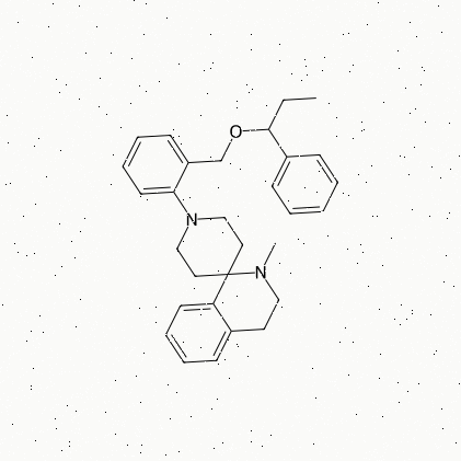 CCC(OCc1ccccc1N1CCC2(CC1)c1ccccc1CCN2C)c1ccccc1